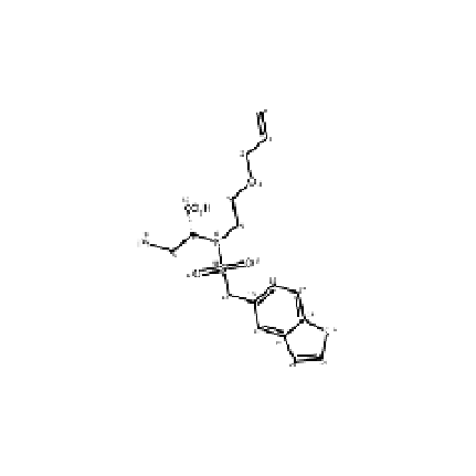 C=CCOCCN([C@H](CC(C)C)C(=O)O)S(=O)(=O)Cc1ccc2sccc2c1